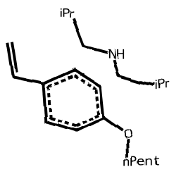 C=Cc1ccc(OCCCCC)cc1.CC(C)CNCC(C)C